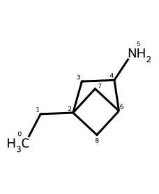 CCC12CC(N)C(C1)C2